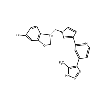 CC(C)c1ccc2c(c1)OC[C@H]2Cn1cnc(-c2cc(-c3nn[nH]c3C(F)(F)F)ccn2)c1